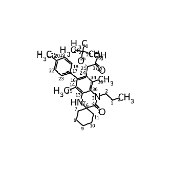 CCCN1C(=O)C2(CCCCC2)Nc2c(C)c(-c3ccc(C)cc3)c([C@H](OC(C)(C)C)C(=O)O)c(C)c21